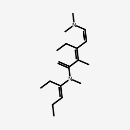 C=C(/C(C)=C(/C=C\N(C)C)CC)N(C)/C(=C/CC)CC